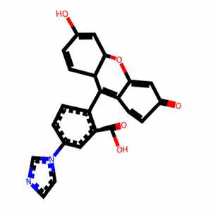 O=C1C=CC2=C(c3ccc(-n4ccnc4)cc3C(=O)O)C3C=CC(O)=CC3OC2=C1